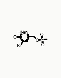 CS(=O)(=O)OCc1cc(Br)c(=O)[nH]n1